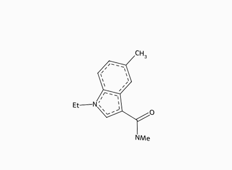 CCn1cc(C(=O)NC)c2cc(C)ccc21